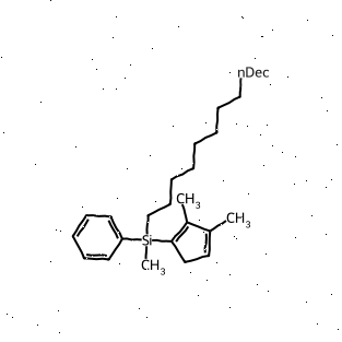 CCCCCCCCCCCCCCCCCC[Si](C)(C1=C(C)C(C)=CC1)c1ccccc1